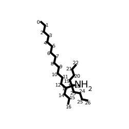 CCCCCCCCCCCCCC(CCC)C(N)(CCCC)CCCC